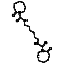 O=C1CCCCCCN1C(=O)NCCCCCCNC(=O)N1CCCCCCC1=O